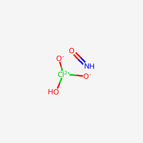 N=O.[O-][Cl+2]([O-])O